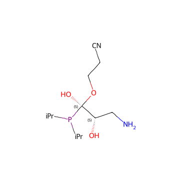 CC(C)P(C(C)C)[C@@](O)(OCCC#N)[C@@H](O)CN